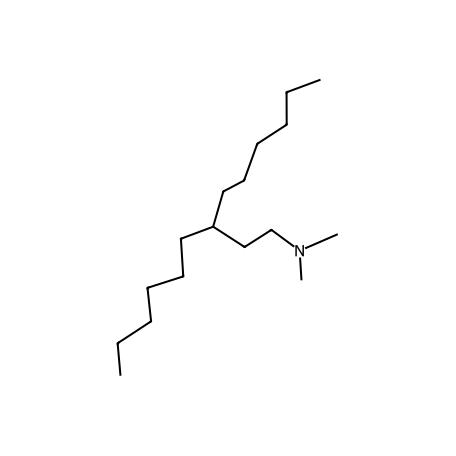 CCCCCCC(CCCCCC)CCN(C)C